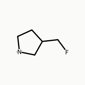 FCC1CC[N]C1